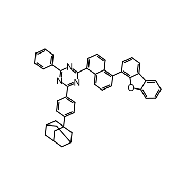 c1ccc(-c2nc(-c3ccc(C45CC6CC(CC(C6)C4)C5)cc3)nc(-c3cccc4c(-c5cccc6c5oc5ccccc56)cccc34)n2)cc1